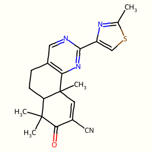 Cc1nc(-c2ncc3c(n2)C2(C)C=C(C#N)C(=O)C(C)(C)C2CC3)cs1